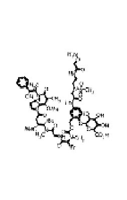 CC[C@H](C)C([C@@H](CC(=O)N1CCC[C@H]1[C@H](OC)[C@@H](C)C(=O)N[C@H](C)[C@@H](O)c1ccccc1)OC)N(C)C(=O)CNC(=O)C(C(C)C)N(C)C(=O)OCc1cc(NC(=O)CN(CCNC(=O)CON)S(C)(=O)=O)ccc1OC1OC(C(=O)O)C(O)C(O)C1O